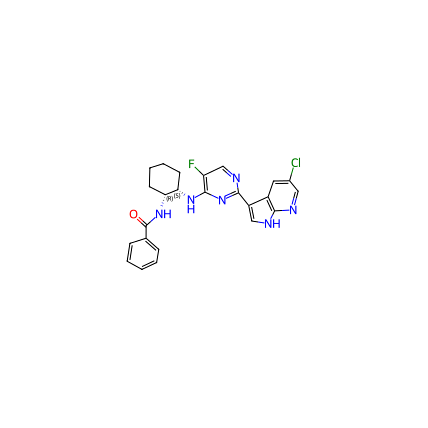 O=C(N[C@@H]1CCCC[C@@H]1Nc1nc(-c2c[nH]c3ncc(Cl)cc23)ncc1F)c1ccccc1